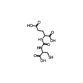 O=C(O)CCC(NC(=O)NC(CS)C(=O)O)C(=O)O